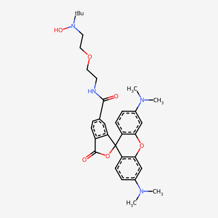 CN(C)c1ccc2c(c1)Oc1cc(N(C)C)ccc1C21OC(=O)c2ccc(C(=O)NCCOCCN(O)C(C)(C)C)cc21